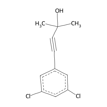 CC(C)(O)C#Cc1cc(Cl)cc(Cl)c1